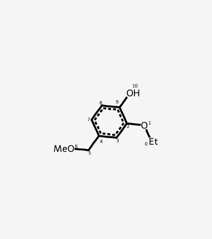 CCOc1cc(COC)ccc1O